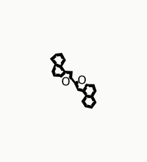 c1ccc2c(c1)ccc1oc(-c3cc4c(ccc5ccccc54)o3)cc12